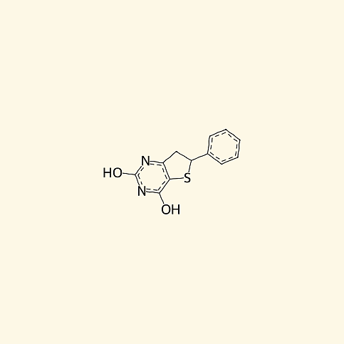 Oc1nc(O)c2c(n1)CC(c1ccccc1)S2